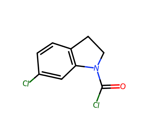 O=C(Cl)N1CCc2ccc(Cl)cc21